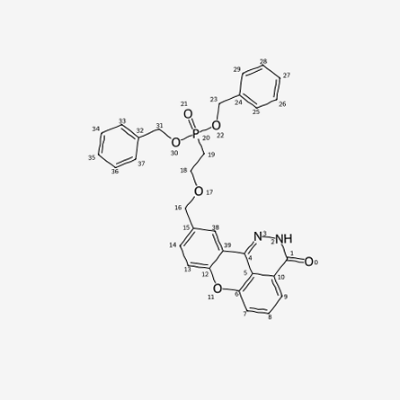 O=c1[nH]nc2c3c(cccc13)Oc1ccc(COCCP(=O)(OCc3ccccc3)OCc3ccccc3)cc1-2